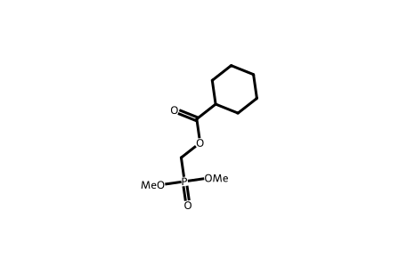 COP(=O)(COC(=O)C1CCCCC1)OC